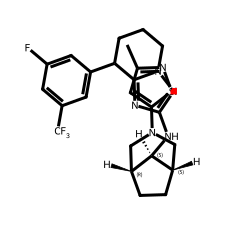 Cc1cc(N2C[C@H]3CC[C@@H](C2)[C@@H]3Nc2nc3n(n2)CCCC3c2cc(F)cc(C(F)(F)F)c2)sn1